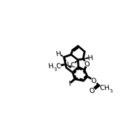 CC(=O)Oc1cc(I)c2c3c1O[C@H]1CC=CC4[C@@H](C2)N(C)CC[C@@]341